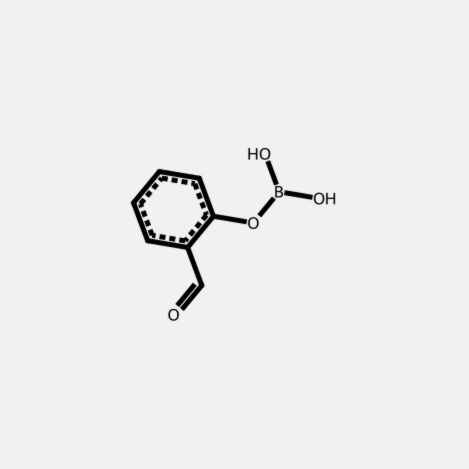 O=Cc1ccccc1OB(O)O